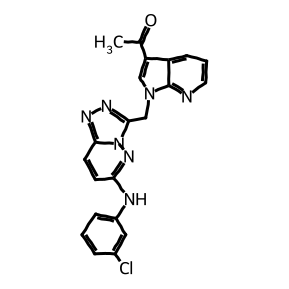 CC(=O)c1cn(Cc2nnc3ccc(Nc4cccc(Cl)c4)nn23)c2ncccc12